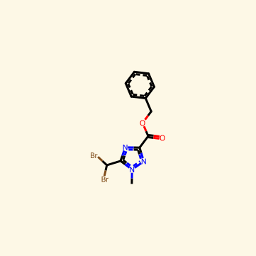 Cn1nc(C(=O)OCc2ccccc2)nc1C(Br)Br